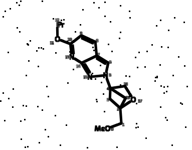 COCC12CC(n3cc4ccc(OC(C)C)nc4n3)(CO1)C2